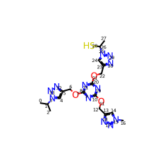 CC(C)n1cc(COc2nc(OCc3cn(C)nn3)nc(OCc3cn(C(C)S)nn3)n2)nn1